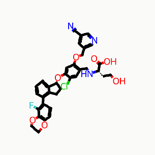 N#Cc1cncc(COc2cc(O[C@H]3CCc4c(-c5ccc6c(c5F)OCCO6)cccc43)c(Cl)cc2CN[C@@H](CCO)C(=O)O)c1